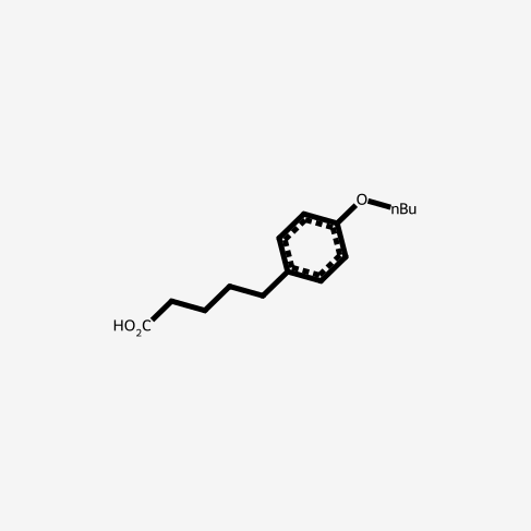 CCCCOc1ccc(CCCCC(=O)O)cc1